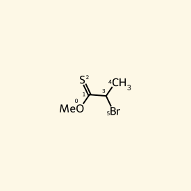 COC(=S)C(C)Br